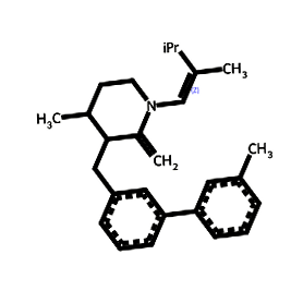 C=C1C(Cc2cccc(-c3cccc(C)c3)c2)C(C)CCN1/C=C(/C)C(C)C